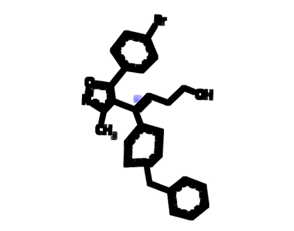 Cc1noc(-c2ccc(Br)cc2)c1/C(=C/CCO)c1ccc(Cc2ccccc2)cc1